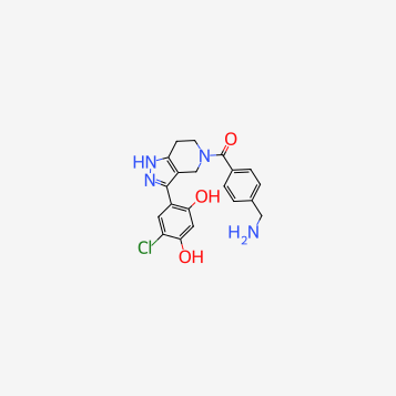 NCc1ccc(C(=O)N2CCc3[nH]nc(-c4cc(Cl)c(O)cc4O)c3C2)cc1